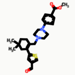 COC(=O)c1ccc(N2CCN(CC3=C(c4cc(C=O)cs4)CC(C)(C)CC3)CC2)cc1